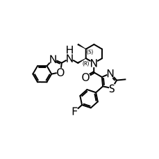 Cc1nc(C(=O)N2CCC[C@H](C)[C@@H]2CNc2nc3ccccc3o2)c(-c2ccc(F)cc2)s1